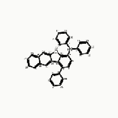 c1ccc(-c2ccc(N(c3ccccc3)c3ccccc3)c3oc4cc5ccccc5cc4c23)cc1